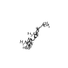 CCCCOc1nc(N)c2ncc(Cc3cnc(N4CCN(C(=O)CCCCN(C)C)CC4)c(C)c3)n2n1